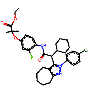 CCOC(=O)C(C)(C)Oc1ccc(NC(=O)C(c2c3c(nn2-c2ccc(Cl)cc2)CCCCC3)C2CCCCC2)c(F)c1